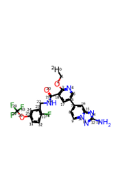 [2H]COc1ncc(-c2ccn3nc(N)nc3c2)cc1C(=O)NCc1cc(OC(F)(F)F)ccc1F